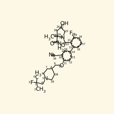 CC(C)(F)CN1CCC(COc2ccc(-c3cccc(F)c3C(=O)N3C[C@H](O)C[C@@]3(C)C(N)=O)cc2C#N)CC1